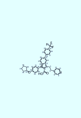 O=C(O)c1c(CCc2ccncc2)c2cc(-c3ccc(C(F)(F)F)cc3)ccc2n1-c1ccc(OC2CCCC2)cc1